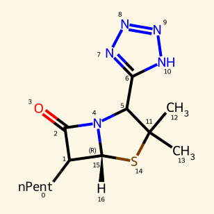 CCCCCC1C(=O)N2C(c3nnn[nH]3)C(C)(C)S[C@H]12